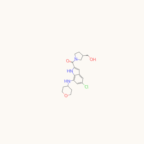 O=C(c1cc2cc(Cl)cc(NC3CCOCC3)c2[nH]1)N1CC[C@@H](CO)C1